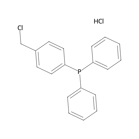 Cl.ClCc1ccc(P(c2ccccc2)c2ccccc2)cc1